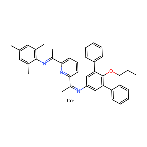 CCCOc1c(-c2ccccc2)cc(N=C(C)c2cccc(C(C)=Nc3c(C)cc(C)cc3C)n2)cc1-c1ccccc1.[Co]